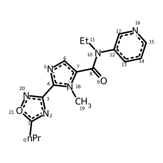 CCCc1nc(-c2ncc(C(=O)N(CC)c3cccnc3)n2C)no1